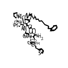 CC(=O)N1CCC[C@H]1C(=O)N[C@@H](CC(C)C)C(=O)N[C@@H](Cc1cncn1CCCCCCCCc1ccccc1)C(=O)N[C@@H](CO)C(=O)N[C@H](C(N)=O)[C@@H](C)OP(=O)(O)OCCc1cccs1